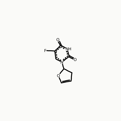 O=c1[nH]c(=O)n(C2CC=CO2)cc1F